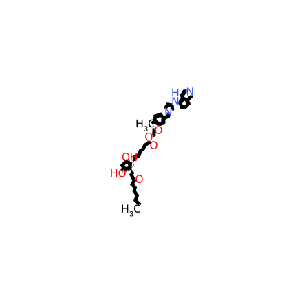 CCCCCCCC(=O)CC[C@@H]1[C@@H](CC=CCCCC(=O)OCCOc2cc(CN3CCC(Nc4cccc5cnccc45)C3)ccc2C)[C@@H](O)C[C@H]1O